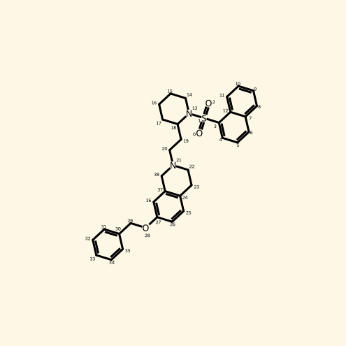 O=S(=O)(c1cccc2ccccc12)N1CCCCC1CCN1CCc2ccc(OCc3ccccc3)cc2C1